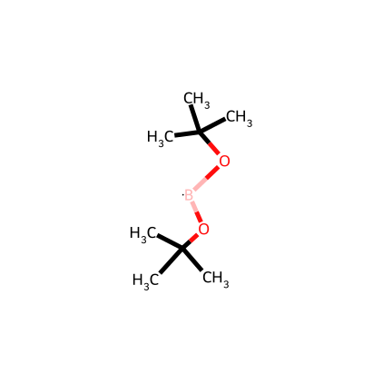 CC(C)(C)O[B]OC(C)(C)C